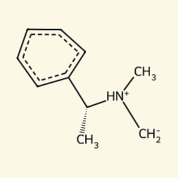 [CH2-][NH+](C)[C@H](C)c1ccccc1